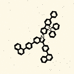 c1ccc(-c2ccc3c(c2)S(c2ccccc2)(c2ccccc2)c2cc(-n4cc(-c5ccc(-c6cccc7ccccc67)cc5)c5cc(-c6ccc(-c7cccc8ccccc78)cc6)ccc54)ccc2-3)cc1